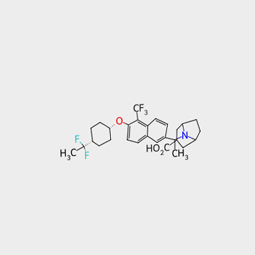 CC(c1ccc2c(C(F)(F)F)c(O[C@H]3CC[C@@H](C(C)(F)F)CC3)ccc2c1)N1C2CCC1CC(C(=O)O)C2